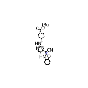 Cc1cnc(NCC2CCN(C(=O)OC(C)(C)C)CC2)nc1/C(C#N)=C1\Nc2ccccc2O1